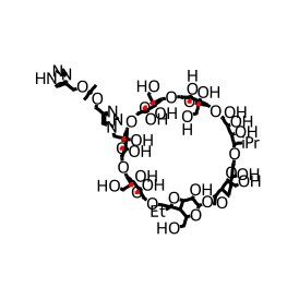 CCC12OC3OC(CO)C(OC4OC(Cn5cc(COC(C)(C)OCc6c[nH]nn6)nn5)C(OC5OC(CO)C(OC6OC(CO)C(OC(O)C(O)C(O)C(C(C)C)OC7OC(CO)C8C(OC8(C)OC8OC(CO)C1C(O2)C8O)C7O)C(O)C6O)C(O)C5O)C(O)C4O)C(O)C3O